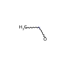 CCCCCCCCCC/C=C\CCCCCCCC=O